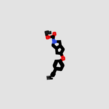 C#Cc1ccc(OC2CC3CN(C(=O)OC(C)(C)C)CC3C2)cc1